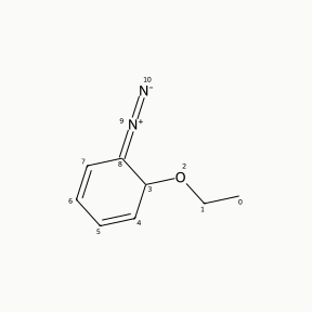 CCOC1C=CC=CC1=[N+]=[N-]